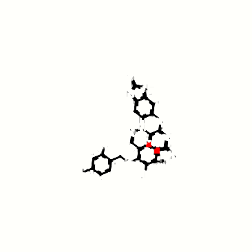 O=c1[nH]c2ccc(Nc3nc4nonc4nc3N/N=C\c3cc(I)cc(I)c3OCc3ccc(Cl)cc3Cl)cc2[nH]1